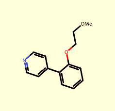 COCCOc1ccccc1-c1[c]cncc1